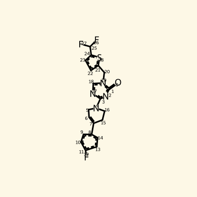 O=c1nc(N2CC=C(c3ccc(F)cc3)CC2)ncn1Cc1ccc(C(F)F)s1